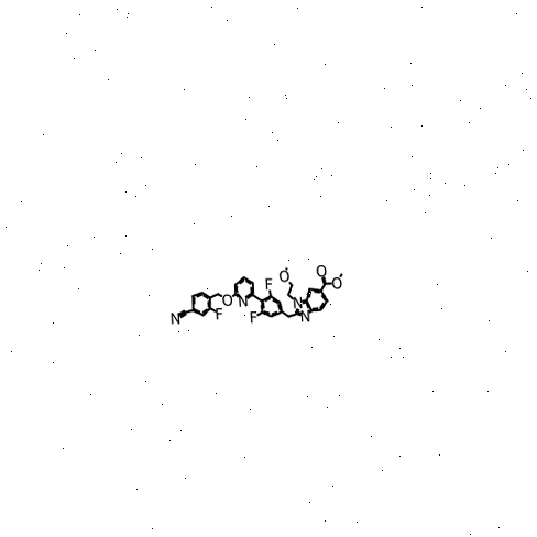 COCCn1c(Cc2cc(F)c(-c3cccc(OCc4ccc(C#N)cc4F)n3)c(F)c2)nc2ccc(C(=O)OC)cc21